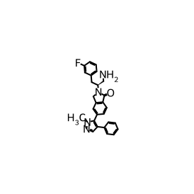 Cn1ncc(-c2ccccc2)c1-c1ccc2c(c1)CN([C@H](CN)Cc1cccc(F)c1)C2=O